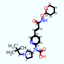 CC(C)(C)CN1CC[C@@H](N(C(=O)O)c2ccc(C=CC(=O)NOC3CCCCO3)cn2)C1